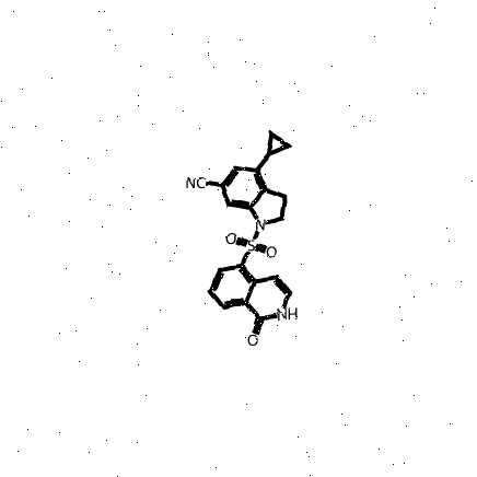 N#Cc1cc(C2CC2)c2c(c1)N(S(=O)(=O)c1cccc3c(=O)[nH]ccc13)CC2